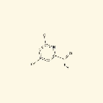 CC(C)C(=O)c1cc(Cl)cc(Cl)n1